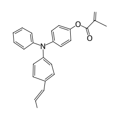 C=C(C)C(=O)Oc1ccc(N(c2ccccc2)c2ccc(C=CC)cc2)cc1